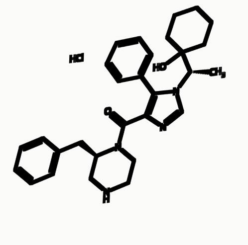 C[C@H](n1cnc(C(=O)N2CCNC[C@H]2Cc2ccccc2)c1-c1ccccc1)C1(O)CCCCC1.Cl